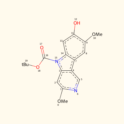 COc1cc2c(cn1)c1cc(OC)c(O)cc1n2C(=O)OC(C)(C)C